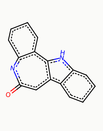 O=c1cc2c3ccccc3[nH]c2c2ccccc2n1